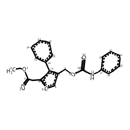 COC(=O)c1occ(COC(=O)Nc2ccccc2)c1-c1ccccc1